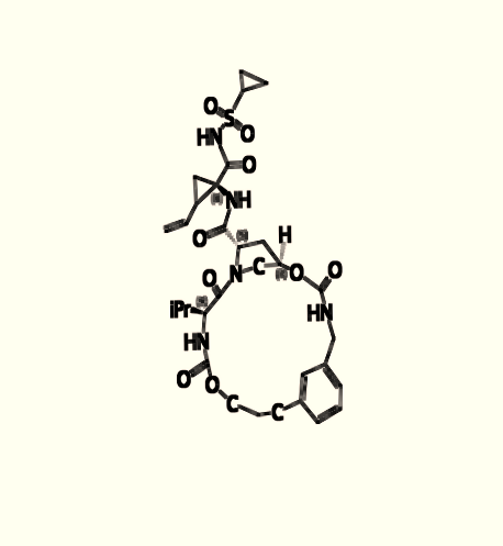 C=CC1C[C@]1(NC(=O)[C@@H]1C[C@@H]2CN1C(=O)[C@H](C(C)C)NC(=O)OCCCc1cccc(c1)CNC(=O)O2)C(=O)NS(=O)(=O)C1CC1